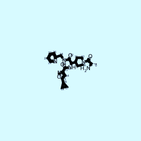 C[C@H](N)C(=O)N1CCC(C(NC(=O)c2cc(C3CC3)on2)C(=O)NCc2ccccn2)CC1